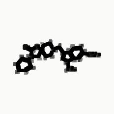 CCCCn1cc(CN2CCC3(CC2)CN(c2ccccc2)C(=O)O3)c2ccc(OC)cc21